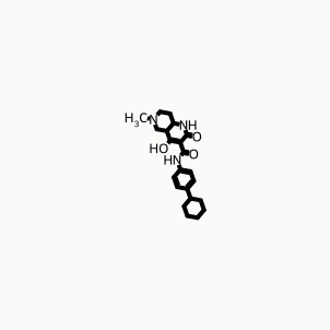 CN1CCC2NC(=O)C(C(=O)Nc3ccc(C4CCCCC4)cc3)=C(O)C2C1